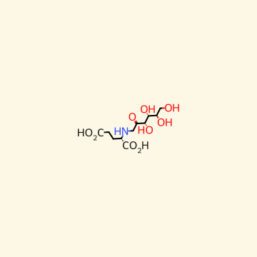 O=C(O)CC[C@H](NCC(=O)[C@@H](O)[C@H](O)[C@H](O)CO)C(=O)O